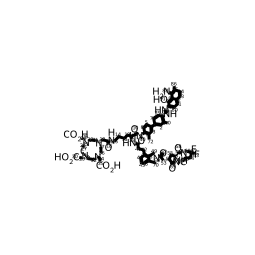 Cc1cc(-c2ccc(NC(=O)C(CCCCNC(=O)CN3CCN(CC(=O)O)CCN(CC(=O)O)CCN(CC(=O)O)CC3)NC(=O)CCc3cccc4c3CN(C(=O)C[C@@H]3C[C@@H](C(=O)N5CC(F)(F)C[C@H]5C#N)NC3=O)C4)c(C)c2)ccc1NNc1ccc2ccc(C)c(N)c2c1O